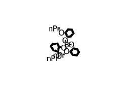 CCCOc1ccccc1OB(Oc1ccccc1OCCC)Oc1ccccc1OCCC